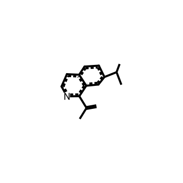 C=C(C)c1nccc2ccc(C(C)C)cc12